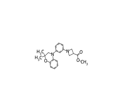 COC(=O)C1CN(c2cccc(N3CC(C)(C)Oc4ccccc43)c2)C1